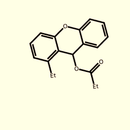 CCC(=O)OC1c2ccccc2Oc2cccc(CC)c21